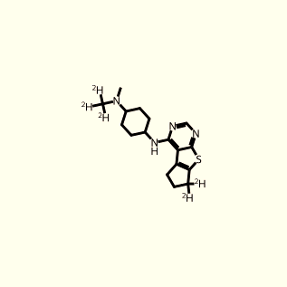 [2H]C1([2H])CCc2c1sc1ncnc(NC3CCC(N(C)C([2H])([2H])[2H])CC3)c21